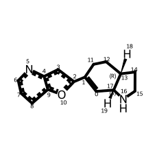 C1=C(c2cc3ncccc3o2)CC[C@@H]2CCN[C@H]12